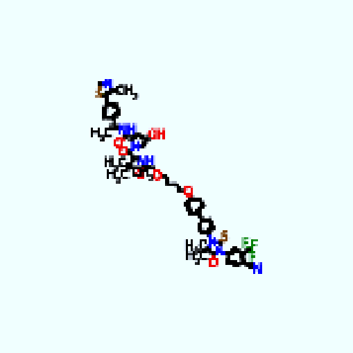 Cc1ncsc1-c1ccc([C@H](C)NC(=O)[C@@H]2C[C@@H](O)CN2C(=O)[C@@H](NC(=O)COCCCCOc2ccc(-c3ccc(N4C(=S)N(c5ccc(C#N)c(C(F)(F)F)c5)C(=O)C4(C)C)cc3)cc2)C(C)(C)C)cc1